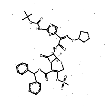 CC(C)(C)OC(=O)Nc1nc(/C(=N/OC2CCCC2)C(=O)N[C@@H]2C(=O)N3C(C(=O)OC(c4ccccc4)c4ccccc4)=C(OS(C)(=O)=O)CS[C@H]23)cs1